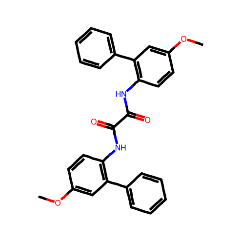 COc1ccc(NC(=O)C(=O)Nc2ccc(OC)cc2-c2ccccc2)c(-c2ccccc2)c1